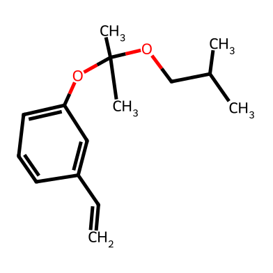 C=Cc1cccc(OC(C)(C)OCC(C)C)c1